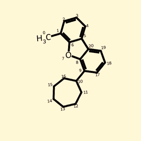 Cc1cccc2c1oc1c(C3CCCCCC3)cccc12